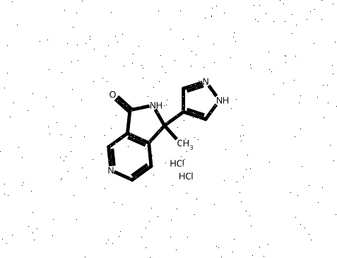 CC1(c2cn[nH]c2)NC(=O)c2cnccc21.Cl.Cl